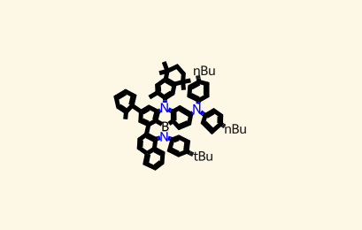 CCCCc1ccc(N(c2ccc(CCCC)cc2)c2ccc3c(c2)N(c2cc4c(cc2C)C(C)(C)CCC4(C)C)c2cc(-c4ccccc4C)cc4c2B3N(c2ccc(C(C)(C)C)cc2)c2c-4ccc3ccccc23)cc1